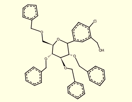 OCc1cc(C2O[C@H](COCc3ccccc3)[C@@H](OCc3ccccc3)[C@H](OCc3ccccc3)[C@H]2OCc2ccccc2)ccc1Cl